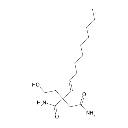 CCCCCCCCC=CC(CCO)(CC(N)=O)C(N)=O